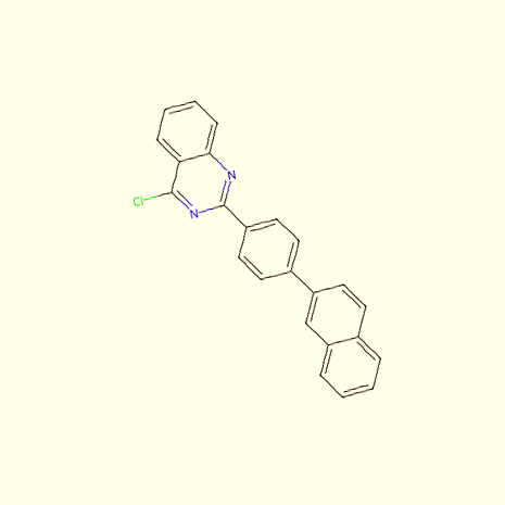 Clc1nc(-c2ccc(-c3ccc4ccccc4c3)cc2)nc2ccccc12